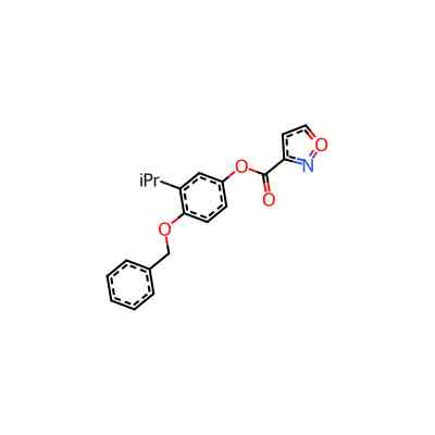 CC(C)c1cc(OC(=O)c2ccon2)ccc1OCc1ccccc1